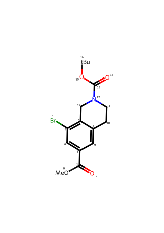 COC(=O)c1cc(Br)c2c(c1)CCN(C(=O)OC(C)(C)C)C2